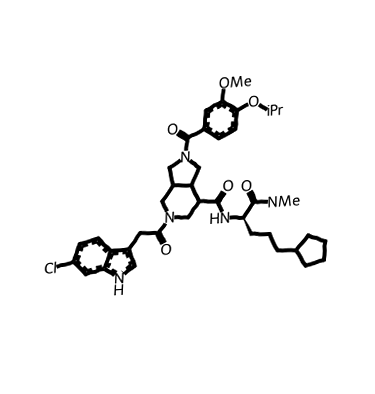 CNC(=O)[C@@H](CCCC1CCCC1)NC(=O)C1CN(C(=O)Cc2c[nH]c3cc(Cl)ccc23)CC2CN(C(=O)c3ccc(OC(C)C)c(OC)c3)CC21